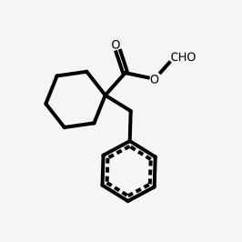 O=COC(=O)C1(Cc2ccccc2)CCCCC1